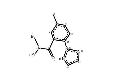 CCCN(CC)C(=O)c1cc(C)ccc1-n1nccn1